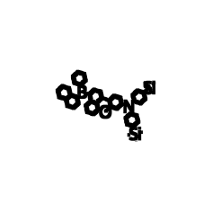 C[Si](C)(C)c1ccc(N(c2ccc([Si](C)(C)C)cc2)c2ccc3c(c2)Oc2cccc4c(B(c5ccccc5)c5cccc6ccccc56)ccc-3c24)cc1